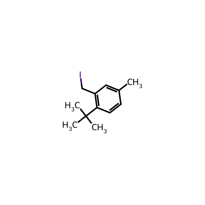 Cc1ccc(C(C)(C)C)c(CI)c1